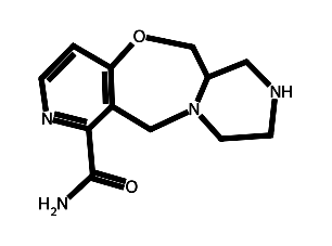 NC(=O)c1nccc2c1CN1CCNCC1CO2